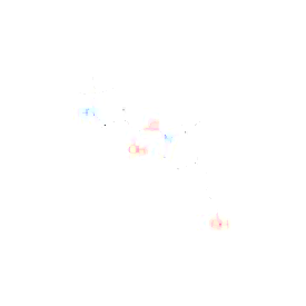 CC1(C)CC=C(C(O)ON2C(C)(C)CC(CCCO)CC2(C)C)C(C)(C)N1